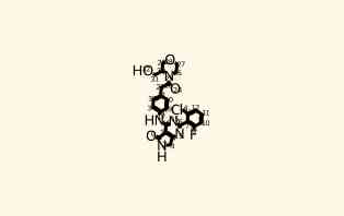 O=C1NCc2nc(-c3c(F)cccc3Cl)nc(Nc3ccc(CC(=O)N4CCOCC4CO)cc3)c21